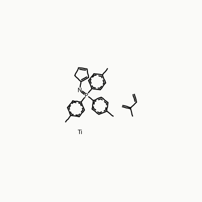 C=CC(=C)C.Cc1ccc(P(=NC2=CC=CC2)(c2ccc(C)cc2)c2ccc(C)cc2)cc1.[Ti]